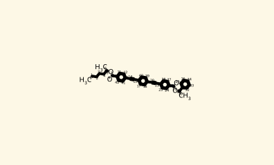 CCCCCC(C)OC(=O)c1ccc(C#Cc2ccc(C#Cc3ccc(C(=O)OC(C)c4ccccc4)cc3)cc2)cc1